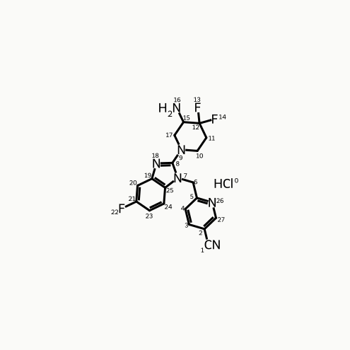 Cl.N#Cc1ccc(Cn2c(N3CCC(F)(F)C(N)C3)nc3cc(F)ccc32)nc1